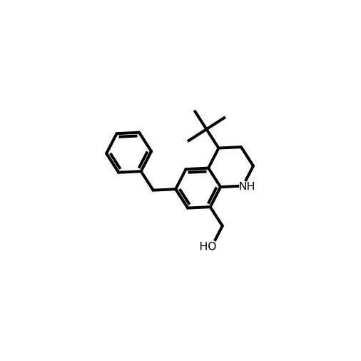 CC(C)(C)C1CCNc2c(CO)cc(Cc3ccccc3)cc21